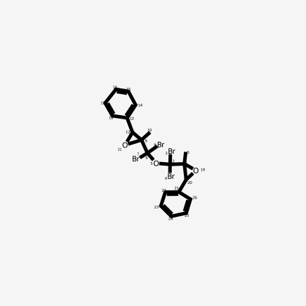 CC1(C(Br)(Br)OC(Br)(Br)C2(C)OC2c2ccccc2)OC1c1ccccc1